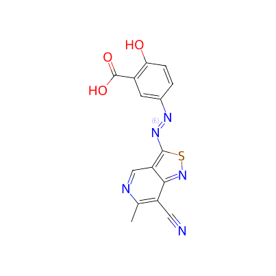 Cc1ncc2c(/N=N/c3ccc(O)c(C(=O)O)c3)snc2c1C#N